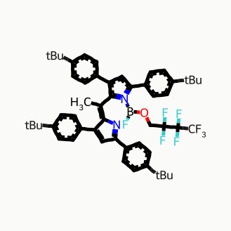 C/C(=C1/N=C(c2ccc(C(C)(C)C)cc2)C=C1c1ccc(C(C)(C)C)cc1)c1c(-c2ccc(C(C)(C)C)cc2)cc(-c2ccc(C(C)(C)C)cc2)n1B(F)OCC(F)(F)C(F)(F)C(F)(F)F